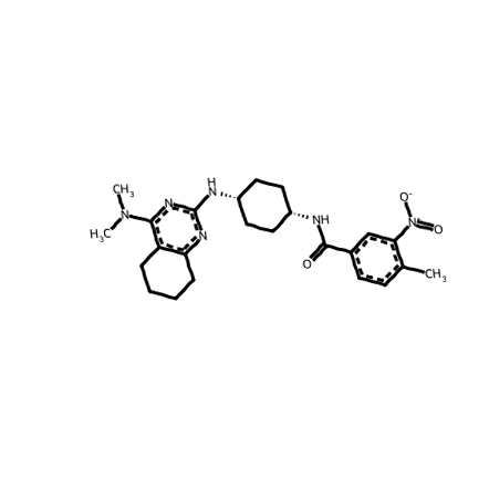 Cc1ccc(C(=O)N[C@H]2CC[C@@H](Nc3nc4c(c(N(C)C)n3)CCCC4)CC2)cc1[N+](=O)[O-]